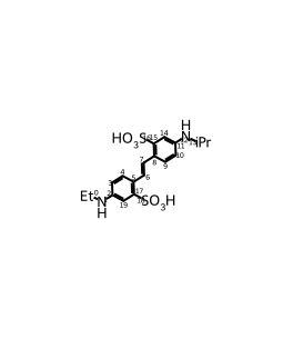 CCNc1ccc(/C=C/c2ccc(NC(C)C)cc2S(=O)(=O)O)c(S(=O)(=O)O)c1